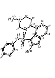 Cc1ccc(NS(=O)(=O)c2c(Br)sc3ccnc(N4CCN(C)CC4)c23)cc1